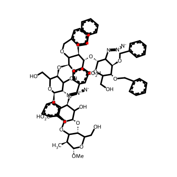 CO[C@H]1OC(CO)[C@@H](O[C@@H]2OC(C(=O)O)[C@@H](O[C@H]3OC(CO)[C@@H](O[C@@H]4OC(C(=O)O)[C@@H](O[C@H]5OC(CO)[C@@H](OCc6ccccc6)[C@H](OCc6ccccc6)C5N=[N+]=[N-])[C@H](OCc5ccccc5)C4OCc4ccccc4)C(O)[C@@H]3N=[N+]=[N-])[C@@H](OCc3ccccc3)C2O)C(OCc2ccccc2)[C@@H]1C